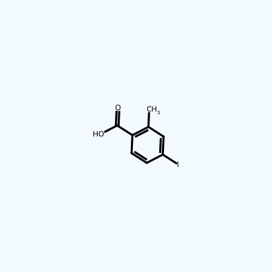 Cc1cc(I)ccc1C(=O)O